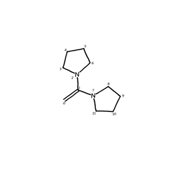 C=C(N1CCCC1)N1CCCC1